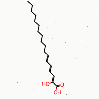 CCCCCCCCCCC/C=C/C=C/C=C(\O)C(=O)O